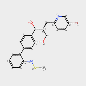 OC1c2ccc(-c3ccccc3NSC(F)(F)F)cc2OC[C@@H]1Cc1ccc(Br)cn1